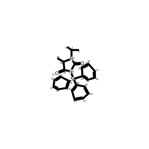 CC(C)N1C(=O)N([Si](c2ccccc2)(c2ccccc2)c2ccccc2)C(=O)C1C